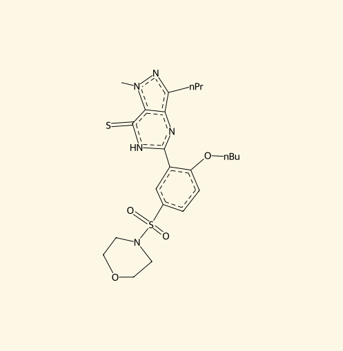 CCCCOc1ccc(S(=O)(=O)N2CCOCC2)cc1-c1nc2c(CCC)nn(C)c2c(=S)[nH]1